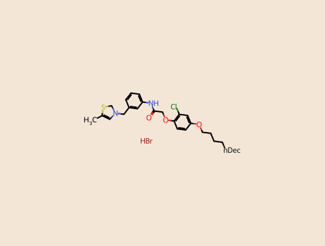 Br.CCCCCCCCCCCCCCOc1ccc(OCC(=O)Nc2cccc(CN3C=C(C)SC3)c2)c(Cl)c1